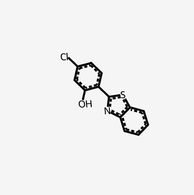 Oc1cc(Cl)ccc1-c1nc2ccccc2s1